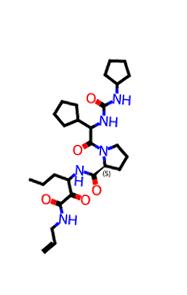 C=CCNC(=O)C(=O)C(CCC)NC(=O)[C@@H]1CCCN1C(=O)C(NC(=O)NC1CCCC1)C1CCCC1